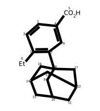 CCc1ccc(C(=O)O)cc1C12CC3CC(CC(C3)C1)C2